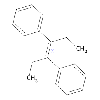 CC/C(=C(/CC)c1ccccc1)c1ccccc1